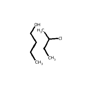 CCC(C)Cl.CCCCO